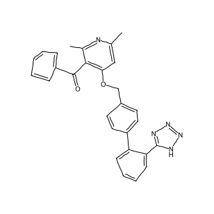 Cc1cc(OCc2ccc(-c3ccccc3-c3nnn[nH]3)cc2)c(C(=O)c2ccccc2)c(C)n1